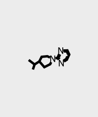 CC(C)C1CCN(c2ncccn2)CC1